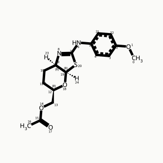 COc1ccc(NC2=N[C@@H]3[C][C][C@H](COC(C)=O)O[C@@H]3S2)cc1